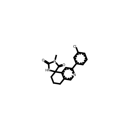 CN1C(=O)NC2(CCCc3cnc(-c4cccc(Cl)c4)cc32)C1=O